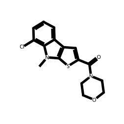 Cn1c2sc(C(=O)N3CCOCC3)cc2c2cccc(Cl)c21